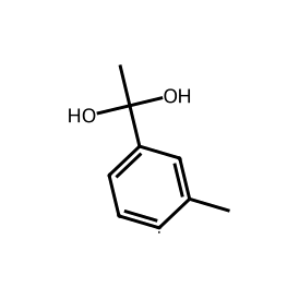 Cc1[c]ccc(C(C)(O)O)c1